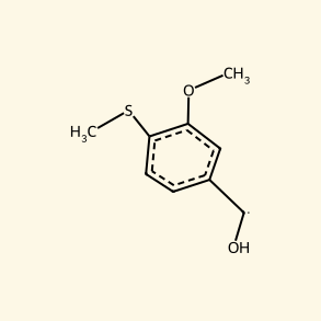 COc1cc([CH]O)ccc1SC